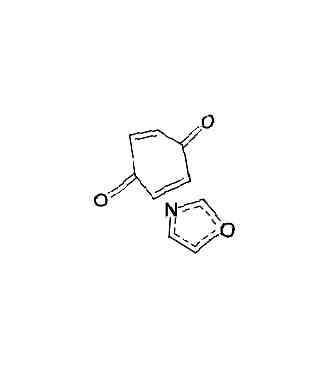 O=C1C=CC(=O)C=C1.c1cocn1